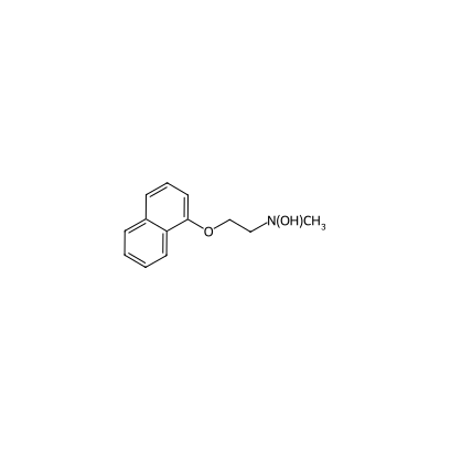 CN(O)CCOc1cccc2ccccc12